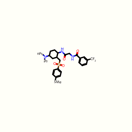 CCCN(C(C)C)C1CCC(NC(=O)CNC(=O)c2cccc(C(F)(F)F)c2)C(CS(=O)(=O)c2ccc(SC)cc2)C1